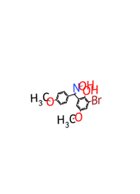 COc1ccc(C(=NO)c2cc(OC)cc(Br)c2O)cc1